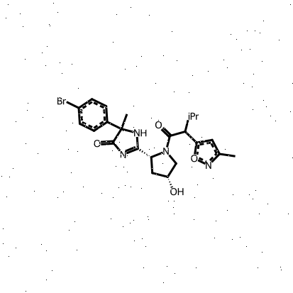 Cc1cc(C(C(=O)N2C[C@H](O)C[C@@H]2C2=NC(=O)C(C)(c3ccc(Br)cc3)N2)C(C)C)on1